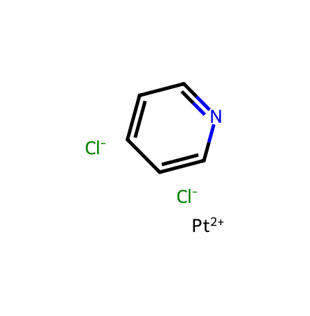 [Cl-].[Cl-].[Pt+2].c1ccncc1